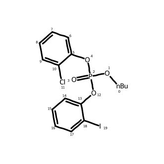 CCCCOP(=O)(Oc1ccccc1Cl)Oc1ccccc1I